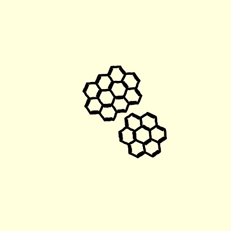 c1cc2ccc3cc4ccc5ccc6ccc7cc8ccc1c1c2c3c2c4c5c6c7c2c81.c1cc2ccc3ccc4ccc5ccc6ccc1c1c2c3c4c5c61